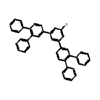 Clc1cc(-c2ccc(-c3ccccc3)c(-c3ccccc3)c2)cc(-c2ccc(-c3ccccc3)c(-c3ccccc3)c2)c1